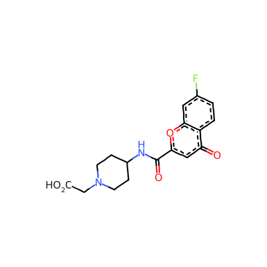 O=C(O)CN1CCC(NC(=O)c2cc(=O)c3ccc(F)cc3o2)CC1